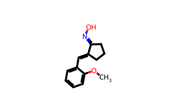 COc1ccccc1/C=C1\CCC\C1=N/O